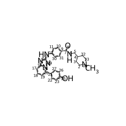 CN1CCC(CNC(=O)c2ccc(Nc3nc4cccc(-c5ccc(O)cc5)n4n3)cc2)CC1